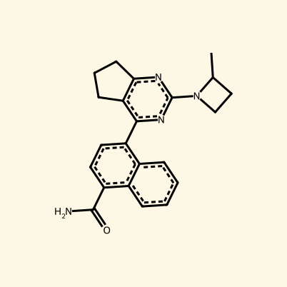 CC1CCN1c1nc2c(c(-c3ccc(C(N)=O)c4ccccc34)n1)CCC2